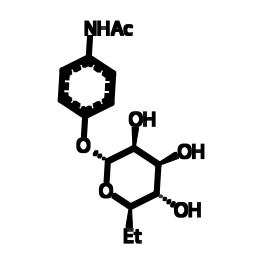 CC[C@H]1O[C@H](Oc2ccc(NC(C)=O)cc2)[C@@H](O)[C@@H](O)[C@@H]1O